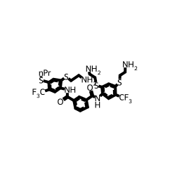 CCCSc1cc(SCCN)c(NC(=O)c2cccc(C(=O)Nc3cc(C(F)(F)F)c(SCCN)cc3SCCN)c2)cc1C(F)(F)F